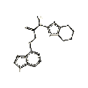 CN(C(=O)COc1cccc2[nH]ccc12)c1nc2c(s1)CCCC2